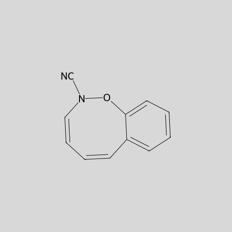 N#Cn1ccccc2ccccc2o1